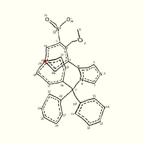 COc1c(-c2cncn2C(c2ccccc2)(c2ccccc2)c2ccccc2)cccc1[N+](=O)[O-]